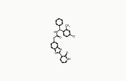 Cc1cc(Cl)ccc1C(NC(=O)Cc1ccc2oc(-c3ccc[nH]c3=O)nc2c1)c1ccccc1